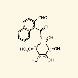 NC(=O)c1c(C=O)ccc2ccccc12.O=C(O)[C@H]1OC(O)[C@H](O)[C@@H](O)[C@@H]1O